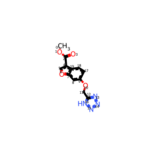 COC(=O)c1coc2cc(OCc3nnn[nH]3)ccc12